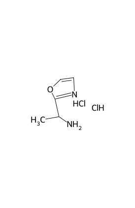 CC(N)c1ncco1.Cl.Cl